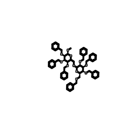 CO[C@H]1OC(COC2O[C@H](COCc3ccccc3)[C@@H](OCc3ccccc3)[C@H](OCc3ccccc3)[C@H]2OCc2ccccc2)[C@@H](OCc2ccccc2)[C@H](OCc2ccccc2)[C@H]1OCc1ccccc1